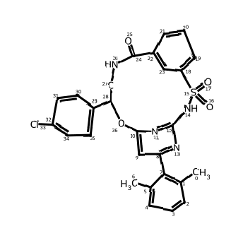 Cc1cccc(C)c1-c1cc2nc(n1)NS(=O)(=O)c1cccc(c1)C(=O)NCC(c1ccc(Cl)cc1)O2